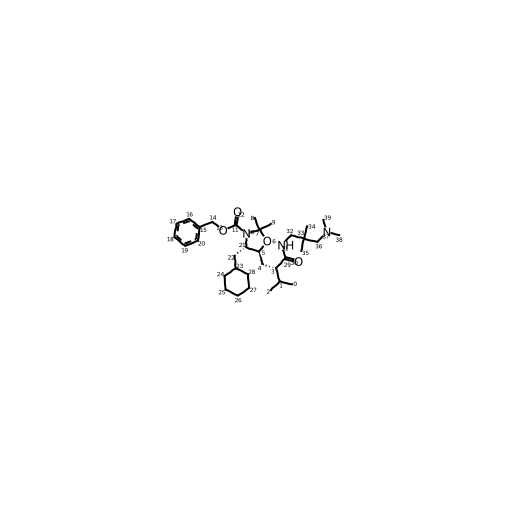 CC(C)[C@H](C[C@@H]1OC(C)(C)N(C(=O)OCc2ccccc2)[C@H]1CC1CCCCC1)C(=O)NCC(C)(C)CN(C)C